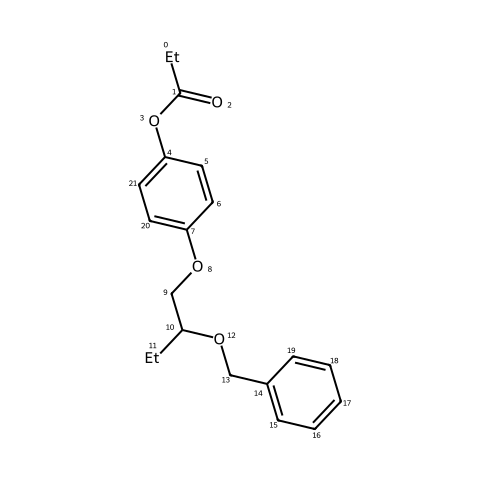 CCC(=O)Oc1ccc(OCC(CC)OCc2ccccc2)cc1